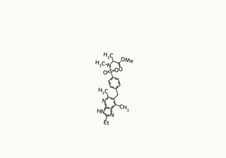 CCc1nc2c(C)c(Cc3ccc(S(=O)(=O)N(C)C(C)C(=O)OC)cc3)c(C)nc2[nH]1